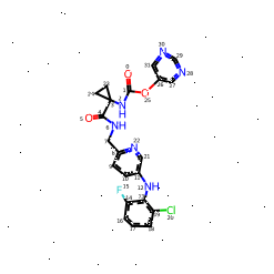 O=C(NC1(C(=O)NCc2ccc(Nc3c(F)cccc3Cl)cn2)CC1)Oc1cncnc1